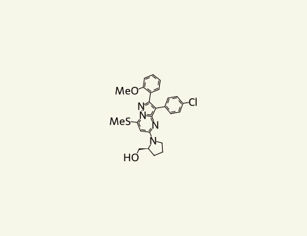 COc1ccccc1-c1nn2c(SC)cc(N3CCC[C@H]3CO)nc2c1-c1ccc(Cl)cc1